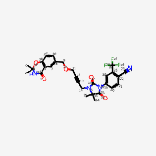 CC1(C)NC(=O)c2cc(COCC#CCN3C(=O)N(c4ccc(C#N)c(C(F)(F)F)c4)C(=O)C3(C)C)ccc2O1